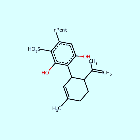 C=C(C)C1CCC(C)=CC1c1c(O)cc(CCCCC)c(S(=O)(=O)O)c1O